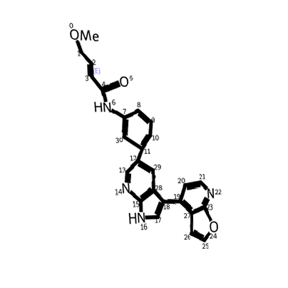 COC/C=C/C(=O)Nc1cccc(-c2cnc3[nH]cc(-c4ccnc5occc45)c3c2)c1